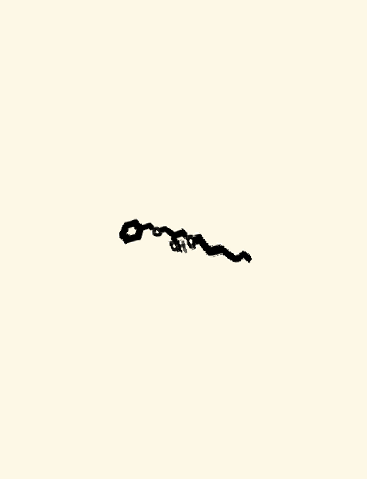 CCCCCCOCC(O)COCc1ccccc1